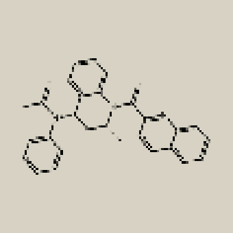 CC(=O)N(c1ccccc1)[C@H]1C[C@@H](C)N(C(=O)c2ccc3ccccc3n2)c2ccccc21